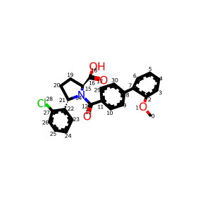 COc1ccccc1-c1ccc(C(=O)N2[C@H](C(=O)O)CC[C@H]2c2ccccc2Cl)cc1